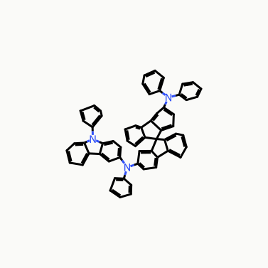 c1ccc(N(c2ccccc2)c2ccc3c(c2)-c2ccccc2C32c3ccccc3-c3ccc(N(c4ccccc4)c4ccc5c(c4)c4ccccc4n5-c4ccccc4)cc32)cc1